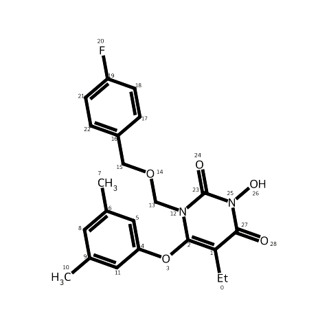 CCc1c(Oc2cc(C)cc(C)c2)n(COCc2ccc(F)cc2)c(=O)n(O)c1=O